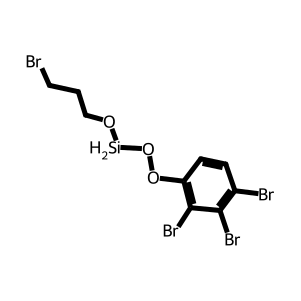 BrCCCO[SiH2]OOc1ccc(Br)c(Br)c1Br